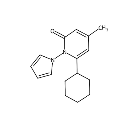 Cc1cc(C2CCCCC2)n(-n2cccc2)c(=O)c1